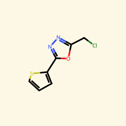 ClCc1nnc(-c2cccs2)o1